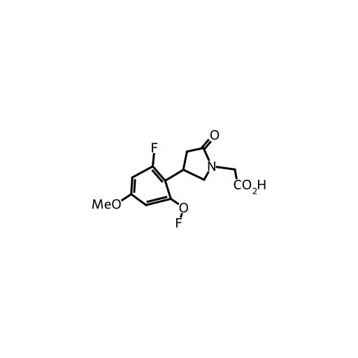 COc1cc(F)c(C2CC(=O)N(CC(=O)O)C2)c(OF)c1